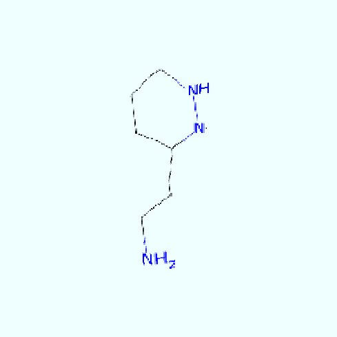 NCCC1CCCN[N]1